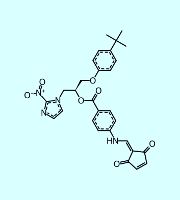 CC(C)(C)c1ccc(OC[C@H](Cn2ccnc2[N+](=O)[O-])OC(=O)c2ccc(NC=C3C(=O)C=CC3=O)cc2)cc1